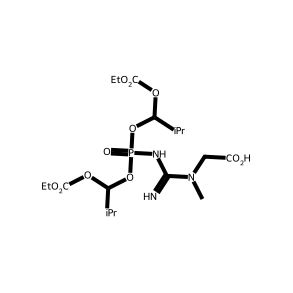 CCOC(=O)OC(OP(=O)(NC(=N)N(C)CC(=O)O)OC(OC(=O)OCC)C(C)C)C(C)C